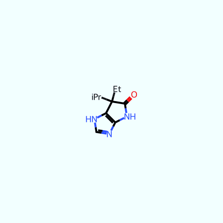 CCC1(C(C)C)C(=O)Nc2nc[nH]c21